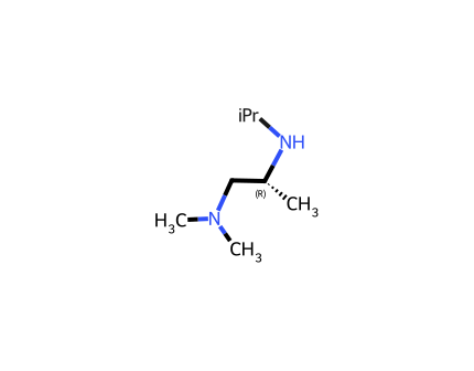 CC(C)N[C@H](C)CN(C)C